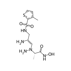 Cc1ccsc1S(=O)(=O)NC/C(N)=C/N(N)[C@@H](C)C(=O)NO